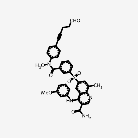 COc1cccc(Nc2c(C(N)=O)cnc3c(C)cc(S(=O)(=O)c4cccc(C(=O)N(C)c5ccc(C#CCCC=O)cc5)c4)cc23)c1